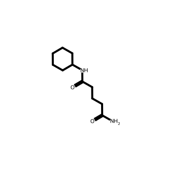 NC(=O)CCCC(=O)NC1CCCCC1